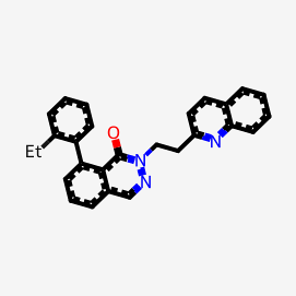 CCc1ccccc1-c1cccc2cnn(CCc3ccc4ccccc4n3)c(=O)c12